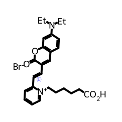 CCN(CC)c1ccc2cc(/C=C/c3cccc[n+]3CCCCCC(=O)O)c(=O)oc2c1.[Br-]